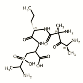 CCC[C@H](NC(=O)[C@](C)(N)C(=O)[C@H](C)N)C(=O)NC(CP(=O)(O)C(C)N)C(=O)O